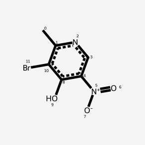 Cc1ncc([N+](=O)[O-])c(O)c1Br